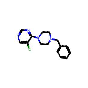 Clc1cncnc1N1CCN(Cc2ccccc2)CC1